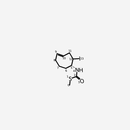 CSC(=O)N[C@@H]1CCC/C=C/CC1I